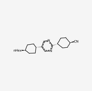 CCCCCC[C@H]1CC[C@H](c2cnc([C@H]3CC[C@H](C#N)CC3)nc2)CC1